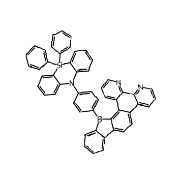 c1ccc([Si]2(c3ccccc3)c3ccccc3N(c3ccc(B4c5ccccc5-c5ccc6c7cccnc7c7ncccc7c6c54)cc3)c3ccccc32)cc1